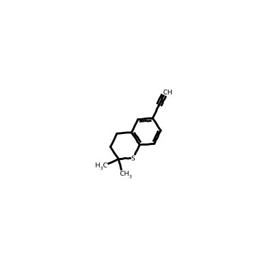 C#Cc1ccc2c(c1)CCC(C)(C)S2